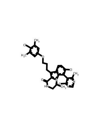 Cc1cc(OCCCc2c3n(c4c(-c5c(C)ncnc5C)c(Cl)ccc24)C(C)CNC3=O)cc(C)c1Cl